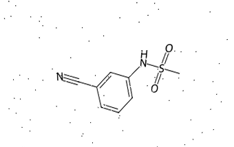 CS(=O)(=O)Nc1cc[c]c(C#N)c1